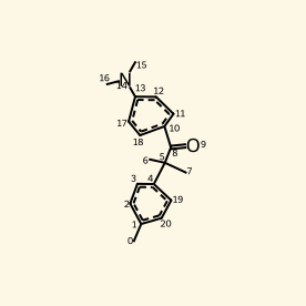 Cc1ccc(C(C)(C)C(=O)c2ccc(N(C)C)cc2)cc1